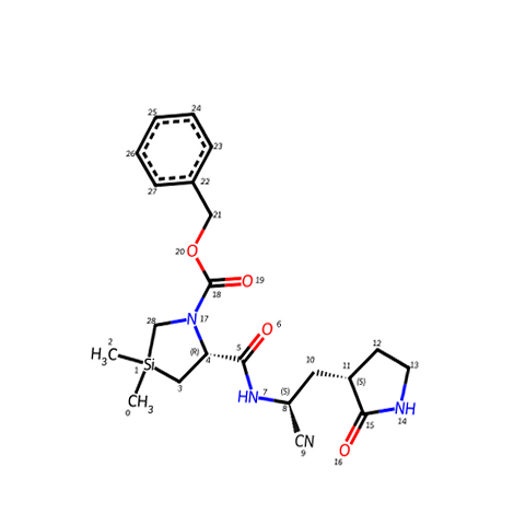 C[Si]1(C)C[C@@H](C(=O)N[C@H](C#N)C[C@@H]2CCNC2=O)N(C(=O)OCc2ccccc2)C1